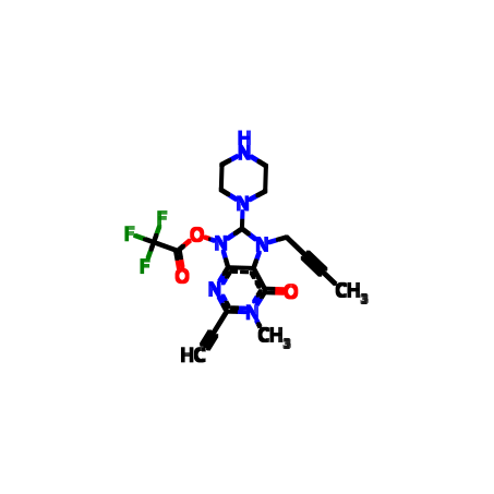 C#Cc1nc2c(c(=O)n1C)N(CC#CC)C(N1CCNCC1)N2OC(=O)C(F)(F)F